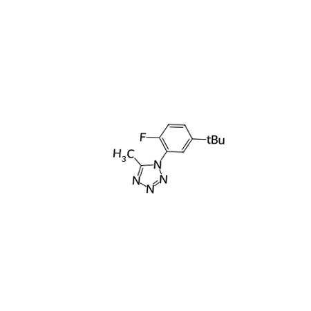 Cc1nnnn1-c1cc(C(C)(C)C)ccc1F